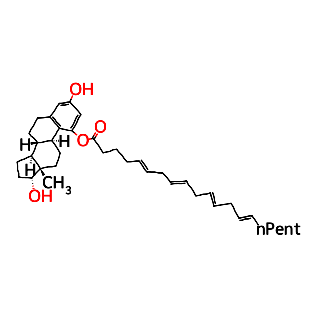 CCCCCC=CCC=CCC=CCC=CCCCC(=O)Oc1cc(O)cc2c1[C@H]1CC[C@]3(C)[C@H](O)CC[C@H]3[C@@H]1CC2